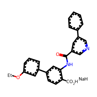 CCOc1cccc(-c2ccc(C(=O)O)c(NC(=O)c3cncc(-c4ccccc4)c3)c2)c1.[NaH]